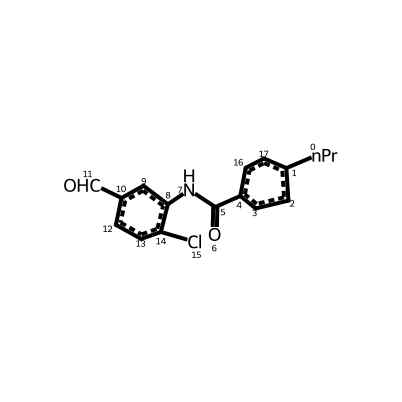 CCCc1ccc(C(=O)Nc2cc(C=O)ccc2Cl)cc1